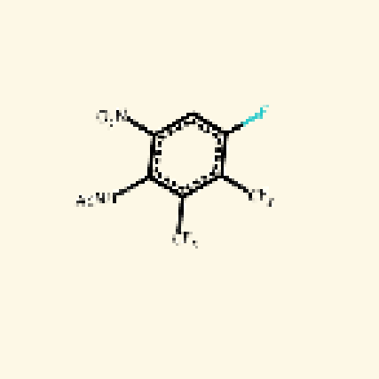 CC(=O)Nc1c([N+](=O)[O-])cc(F)c(C(F)(F)F)c1C(F)(F)F